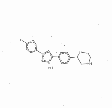 Cl.Fc1ccc(-n2cc(-c3ccc([C@@H]4CNCCO4)cc3)nn2)cc1